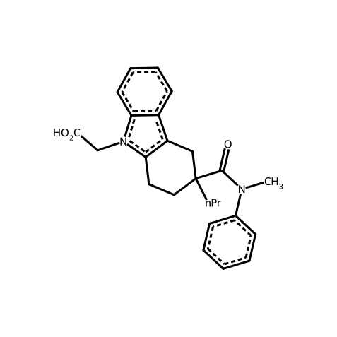 CCCC1(C(=O)N(C)c2ccccc2)CCc2c(c3ccccc3n2CC(=O)O)C1